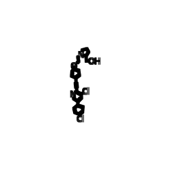 OCC1CCCN1CCOc1ccc(C#Cc2ncc(-c3ccc(Cl)cc3)cc2Cl)cc1